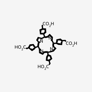 O=C(O)Cc1ccc(C2=C3C=CC(=N3)C(c3ccc(CC(=O)O)cc3)=C3C=CC(=N3)C(c3ccc(CC(=O)O)cc3)=C3C=CC(=N3)C(c3ccc(CC(=O)O)cc3)=C3C=CC2=N3)cc1